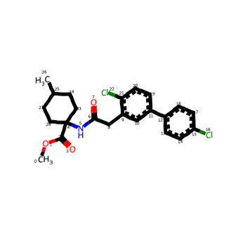 COC(=O)C1(NC(=O)Cc2cc(-c3ccc(Cl)cc3)ccc2Cl)CCC(C)CC1